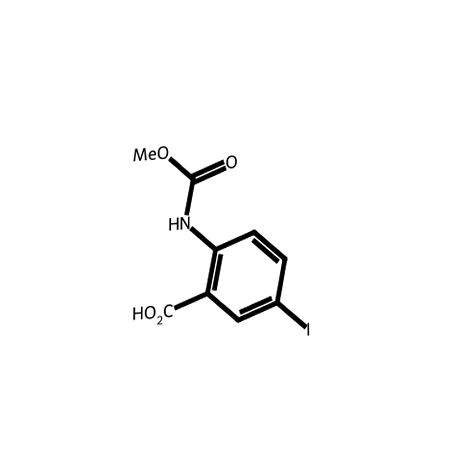 COC(=O)Nc1ccc(I)cc1C(=O)O